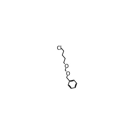 ClCCCCOCOCc1ccccc1